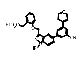 CCOC(=O)Cc1ccccc1OCc1nn(C(C)C)c2ccc(-c3cc(C#N)cc(C4=CCOCC4)c3)cc12